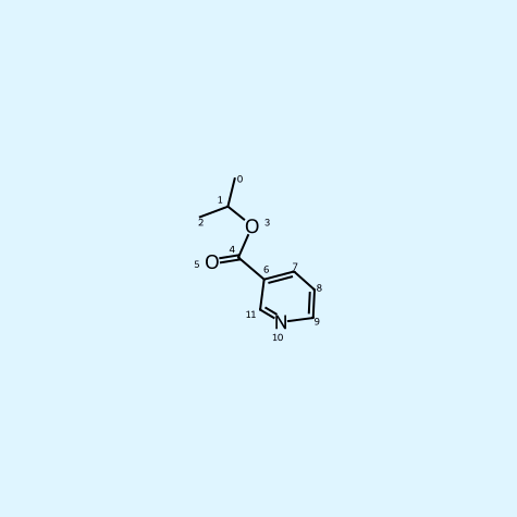 CC(C)OC(=O)c1cccnc1